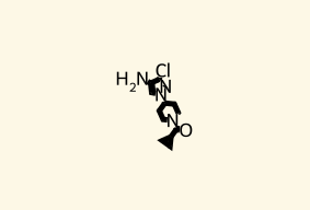 Nc1cn(C2CCN(C(=O)C3CC3)CC2)nc1Cl